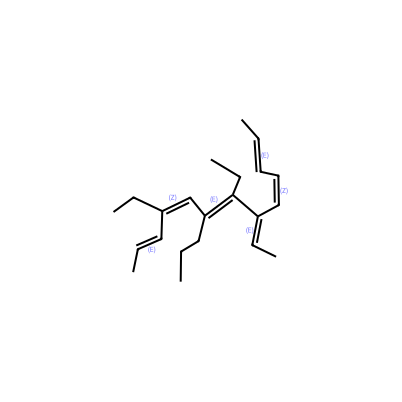 C/C=C/C=C\C(=C/C)C(\CC)=C(\C=C(/C=C/C)CC)CCC